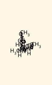 CNc1cc(Nc2cccn(C3CC(OC)C3)c2=O)nc2c(C(=O)N[C@H]3CC[C@]3(C)OC)cnn12